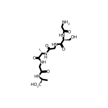 C[C@H](NC(=O)CNC(=O)[C@H](C)NC(=O)CNC(=O)[C@H](CO)NC(=O)CN)C(=O)O